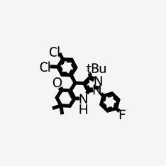 CC1(C)CC(=O)C2=C(C1)Nc1c(c(C(C)(C)C)nn1-c1ccc(F)cc1)C2c1ccc(Cl)c(Cl)c1